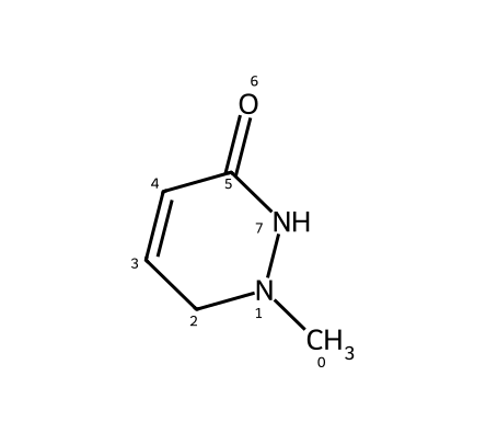 CN1CC=CC(=O)N1